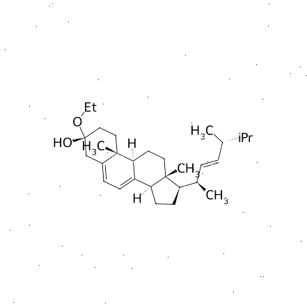 CCO[C@]1(O)CC[C@@]2(C)C(=CC=C3[C@@H]4CC[C@H]([C@H](C)/C=C/[C@H](C)C(C)C)[C@@]4(C)CC[C@@H]32)C1